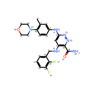 Cc1cc(Nc2cc(NCc3cccc(F)c3F)c(C(N)=O)nn2)ccc1N1CCOCC1